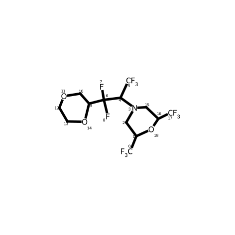 FC(F)(F)C1CN(C(C(F)(F)F)C(F)(F)C2COCCO2)CC(C(F)(F)F)O1